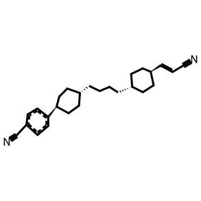 N#CC=C[C@H]1CC[C@H](CCCC[C@H]2CC[C@H](c3ccc(C#N)cc3)CC2)CC1